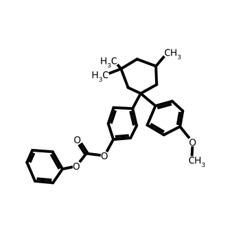 COc1ccc(C2(c3ccc(OC(=O)Oc4ccccc4)cc3)CC(C)CC(C)(C)C2)cc1